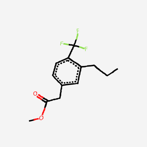 CCCc1cc(CC(=O)OC)ccc1C(F)(F)F